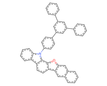 c1ccc(-c2cc(-c3ccccc3)cc(-c3ccc(-n4c5ccccc5c5ccc6c7cc8ccccc8cc7oc6c54)cc3)c2)cc1